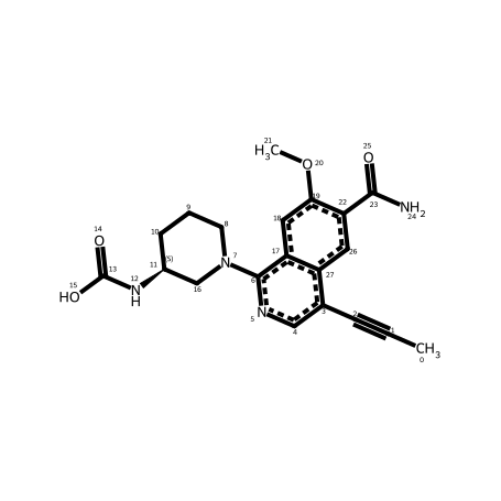 CC#Cc1cnc(N2CCC[C@H](NC(=O)O)C2)c2cc(OC)c(C(N)=O)cc12